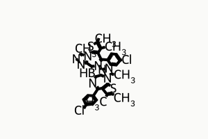 Cc1sc2c(c1C)C(c1ccc(Cl)cc1)=N[C@@H](B[C@@H]1N=C(c3ccc(Cl)cc3)c3c(sc(C)c3C)-n3c(C)nnc31)c1nnc(C)n1-2